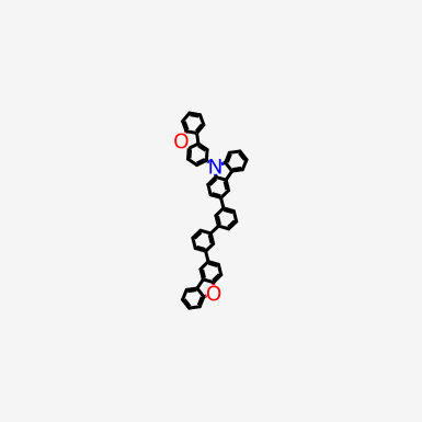 c1cc(-c2cccc(-c3ccc4c(c3)c3ccccc3n4-c3ccc4oc5ccccc5c4c3)c2)cc(-c2ccc3oc4ccccc4c3c2)c1